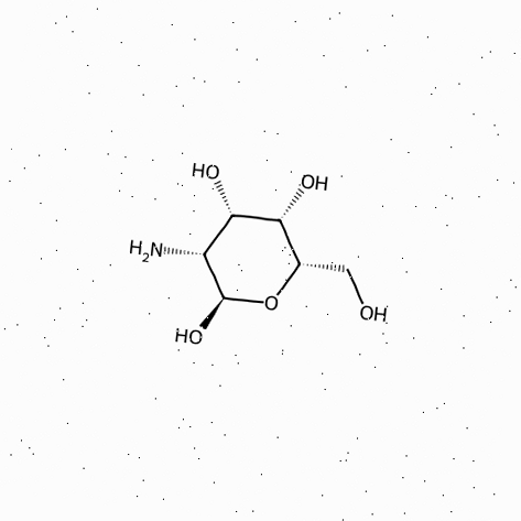 N[C@@H]1[C@H](O)[C@H](O)[C@H](CO)O[C@H]1O